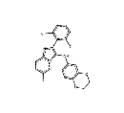 Cc1ccc2nc(-c3c(Cl)cccc3Cl)c(Nc3ccc4c(c3)OCCO4)n2c1